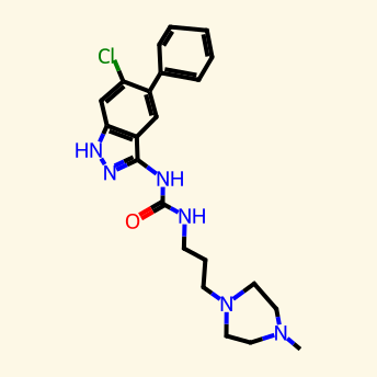 CN1CCN(CCCNC(=O)Nc2n[nH]c3cc(Cl)c(-c4ccccc4)cc23)CC1